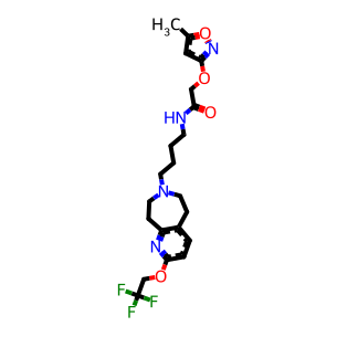 Cc1cc(OCC(=O)NCCCCN2CCc3ccc(OCC(F)(F)F)nc3CC2)no1